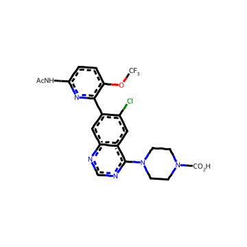 CC(=O)Nc1ccc(OC(F)(F)F)c(-c2cc3ncnc(N4CCN(C(=O)O)CC4)c3cc2Cl)n1